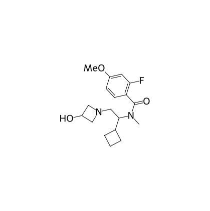 COc1ccc(C(=O)N(C)C(CN2CC(O)C2)C2CCC2)c(F)c1